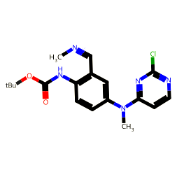 C/N=C\c1cc(N(C)c2ccnc(Cl)n2)ccc1NC(=O)OC(C)(C)C